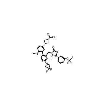 COc1ccc([C@H]2C[C@H](C(=O)O)C2)cc1-c1ccc(N2CC(F)(F)C2)nc1CN1C(=O)O[C@H](c2cccc(OC(F)(F)F)c2)[C@@H]1C